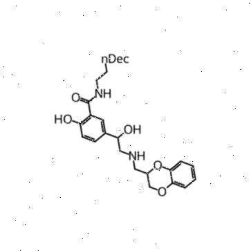 CCCCCCCCCCCCNC(=O)c1cc(C(O)CNCC2COc3ccccc3O2)ccc1O